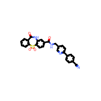 N#Cc1ccc(-c2ccc(CNC(=O)c3ccc4c(c3)NC(=O)c3ccccc3S4(=O)=O)cn2)cc1